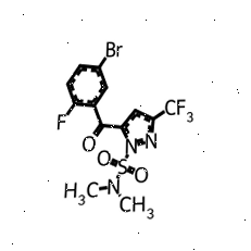 CN(C)S(=O)(=O)n1nc(C(F)(F)F)cc1C(=O)c1cc(Br)ccc1F